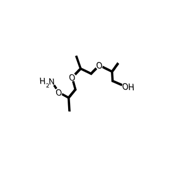 CC(COC(C)COC(C)CO)ON